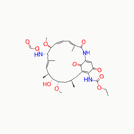 CCOC(=O)NC1=C2C[C@@H](C)C[C@H](OC)[C@H](O)[C@@H](C)/C=C(\C)[C@H](NOC=O)[C@@H](OC)/C=C\C=C(/C)C(=O)NC(=CC1=O)C2=O